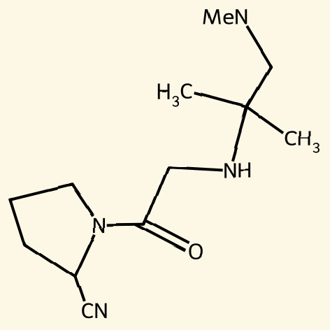 CNCC(C)(C)NCC(=O)N1CCCC1C#N